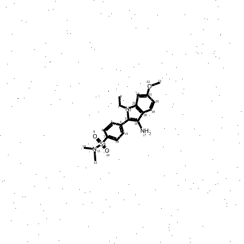 CCn1c(-c2ccc(S(=O)(=O)N(C)C)cc2)c(N)c2ccc(OC)cc21